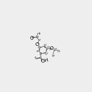 C=C(O)c1cc(OCC(C)=O)cc(OC(C)C)c1